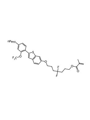 C=C(C)C(=O)OCCCC(F)(F)CCCOc1ccc2cc(-c3ccc(CCCCC)cc3OC(F)(F)F)sc2c1